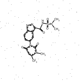 CN(C)S(=O)(=O)NC(=O)c1nsc2ccc(-n3c(=O)cc(C(F)(F)F)n(C)c3=O)cc12